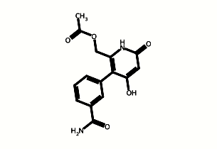 CC(=O)OCc1[nH]c(=O)cc(O)c1-c1cccc(C(N)=O)c1